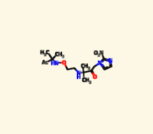 CC(=O)C(C)(C)NOCCNC(C)(C)C(=O)Cn1ccnc1[N+](=O)[O-]